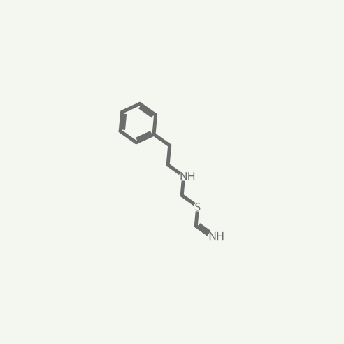 N=CSCNCCc1ccccc1